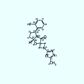 Cc1nnc(N2CC3(C2)O[C@@H]2CC[C@@H](c4ccccc4F)N2C3=O)o1